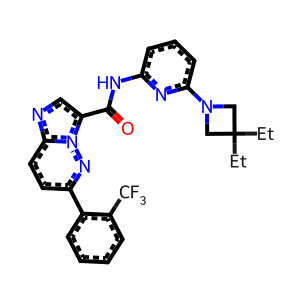 CCC1(CC)CN(c2cccc(NC(=O)c3cnc4ccc(-c5ccccc5C(F)(F)F)nn34)n2)C1